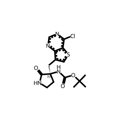 CC(C)(C)OC(=O)N[C@@]1(Cc2csc3c(Cl)ncnc23)CCNC1=O